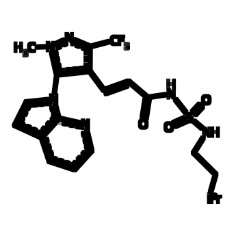 CC(C)CCNS(=O)(=O)NC(=O)C=Cc1c(C(F)(F)F)nn(C)c1-n1ccc2cccnc21